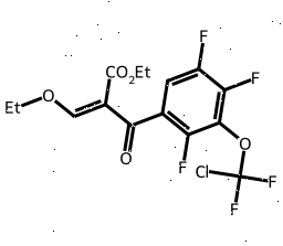 CCO/C=C(\C(=O)OCC)C(=O)c1cc(F)c(F)c(OC(F)(F)Cl)c1F